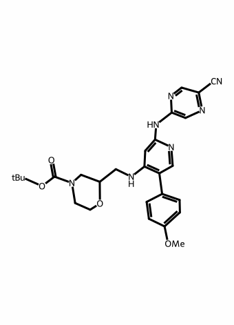 COc1ccc(-c2cnc(Nc3cnc(C#N)cn3)cc2NCC2CN(C(=O)OC(C)(C)C)CCO2)cc1